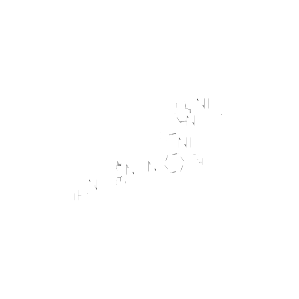 CC(C)NCCS(=O)(=O)N1CCN(c2ccc(Br)c(NC(=O)c3coc(N)n3)c2)CC1